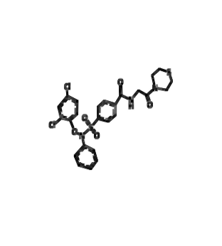 O=C(NCC(=O)N1CCSCC1)c1ccc(S(=O)(=O)N(Oc2ccc(Cl)cc2Cl)c2ccccc2)cc1